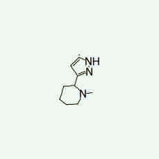 CN1CCCCC1c1c[c][nH]n1